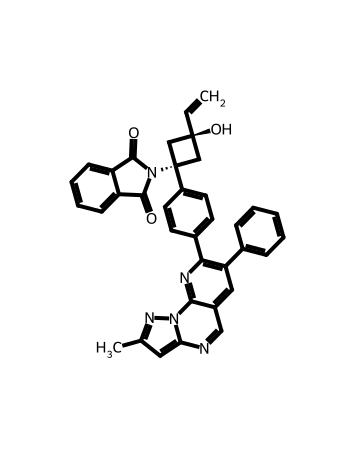 C=C[C@]1(O)C[C@](c2ccc(-c3nc4c(cnc5cc(C)nn54)cc3-c3ccccc3)cc2)(N2C(=O)c3ccccc3C2=O)C1